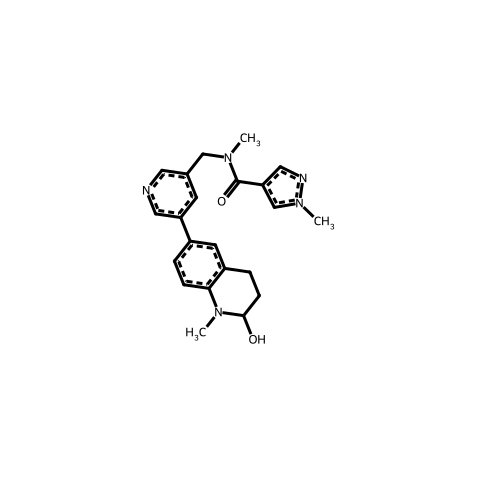 CN(Cc1cncc(-c2ccc3c(c2)CCC(O)N3C)c1)C(=O)c1cnn(C)c1